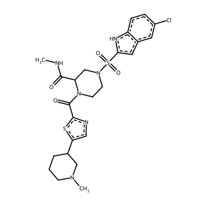 CNC(=O)C1CN(S(=O)(=O)c2cc3cc(Cl)ccc3[nH]2)CCN1C(=O)c1ncc(C2CCCN(C)C2)s1